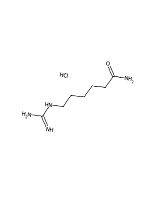 Cl.N=C(N)NCCCCCC(N)=O